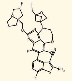 N#Cc1c(N)sc2c(F)ccc(-c3c(Cl)c4c5c(nc(OC[C@@]67CCCN6C[C@H](F)C7)nc5c3F)N(C35COC(CF)(C3)C5)CCO4)c12